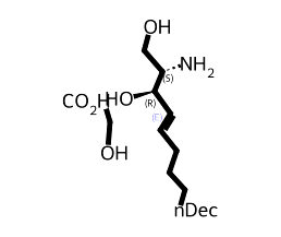 CCCCCCCCCCCCC/C=C/[C@@H](O)[C@@H](N)CO.O=C(O)CO